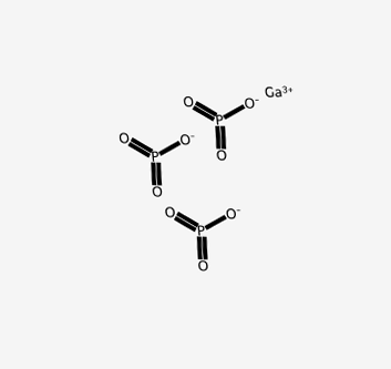 O=P(=O)[O-].O=P(=O)[O-].O=P(=O)[O-].[Ga+3]